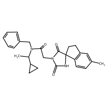 Cc1ccc2c(c1)CCC21NC(=O)N(CC(=O)N(Cc2ccccc2)C(C)C2CC2)C1=O